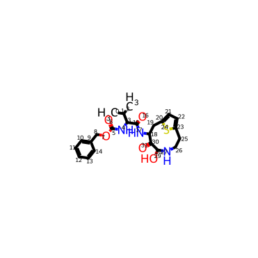 CC(C)C(NC(=O)OCc1ccccc1)C(=O)NC1Cc2ccc(s2)CCNC(O)C1=O